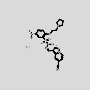 CN(/N=C\c1cnn2ccc(C#N)cc12)S(=O)(=O)c1cc([N+](=O)[O-])ccc1OCCN1CCCC1.Cl